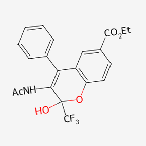 CCOC(=O)c1ccc2c(c1)C(c1ccccc1)=C(NC(C)=O)C(O)(C(F)(F)F)O2